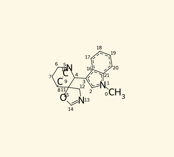 Cn1cc(C2N3CCC(CC3)C23CN=CO3)c2ccccc21